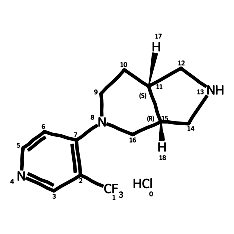 Cl.FC(F)(F)c1cnccc1N1CC[C@@H]2CNC[C@@H]2C1